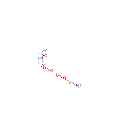 CCCC(C)C(=O)NCC(F)C(C)(C)OCCOCCOCCOCCOCCNC